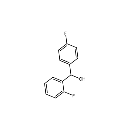 OC(c1ccc(F)cc1)c1ccccc1F